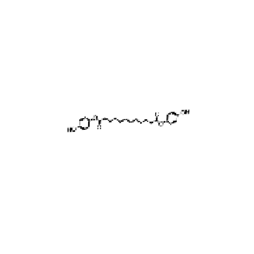 O=C(CCCCCCCCCCC(=O)Oc1ccc(O)cc1)Oc1ccc(O)cc1